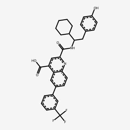 O=C(NC(Cc1ccc(O)cc1)C1CCCCC1)c1cc(C(=O)O)c2cc(-c3cccc(C(F)(F)F)c3)ccc2n1